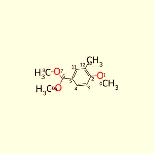 COc1ccc(C(OC)OC)cc1C